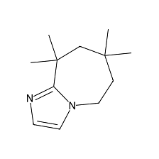 CC1(C)CCn2ccnc2C(C)(C)C1